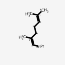 [CH2]CCC=C(C)CCC=C(C)C